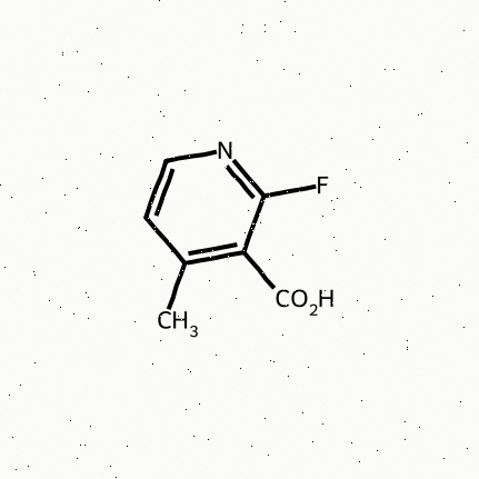 Cc1ccnc(F)c1C(=O)O